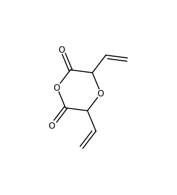 C=CC1OC(C=C)C(=O)OC1=O